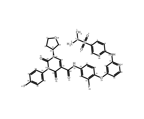 CN(C)S(=O)(=O)c1ccc(Nc2cc(Oc3ccc(NC(=O)c4cn([C@H]5CCOC5)c(=O)n(-c5ccc(F)cc5)c4=O)cc3F)ccn2)nc1